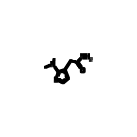 CN(C)c1sccc1CC(N)=O